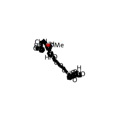 COc1cc(N2CCC(NC(=O)C=COCCOCCOCCNc3cccc4c3C(=O)N(C3CCC(=O)NC3=O)C4=O)CC2)ccc1Nc1ncc(Cl)c(Nc2ccccc2P(C)(C)=O)n1